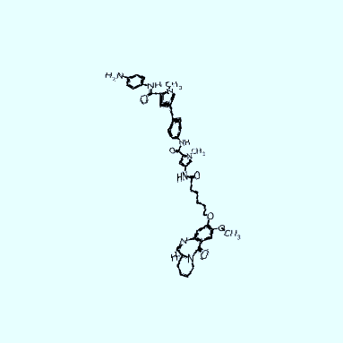 COc1cc2c(cc1OCCCCCC(=O)Nc1cc(C(=O)Nc3ccc(-c4cc(C(=O)Nc5ccc(N)cc5)n(C)c4)cc3)n(C)c1)N=C[C@@H]1CCCCN1C2=O